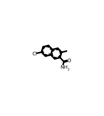 Cc1cc2ccc(Cl)cc2cc1C(N)=O